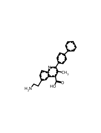 Cc1c(-c2ccc(-c3ccccc3)cc2)nc2ccc(CCN)cc2c1C(=O)O